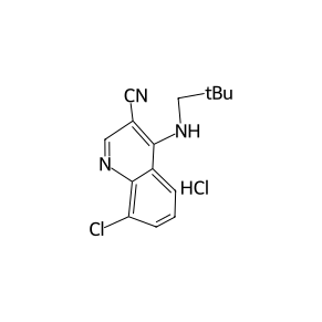 CC(C)(C)CNc1c(C#N)cnc2c(Cl)cccc12.Cl